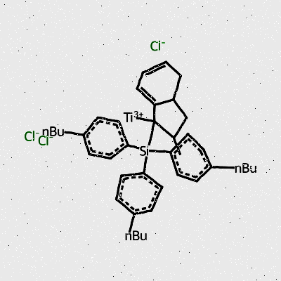 CCCCc1ccc([Si](c2ccc(CCCC)cc2)(c2ccc(CCCC)cc2)[C]2([Ti+3])C3=CC=CCC3CC2C)cc1.[Cl-].[Cl-].[Cl-]